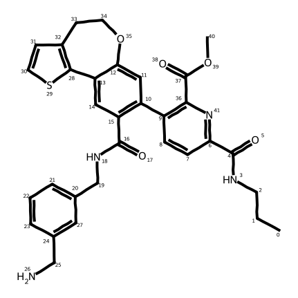 CCCNC(=O)c1ccc(-c2cc3c(cc2C(=O)NCc2cccc(CN)c2)-c2sccc2CCO3)c(C(=O)OC)n1